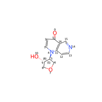 O=c1ccn([C@H]2COC[C@@H]2O)c2ccncc12